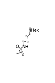 CCCCCCCCCCNC(=O)N(C)C